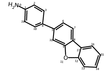 Nc1ccc(-c2ccc3c(c2)oc2ccccc23)cc1